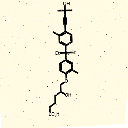 CCC(CC)(c1ccc(C#CC(C)(C)O)c(C)c1)c1ccc(OCC(O)CCCC(=O)O)c(C)c1